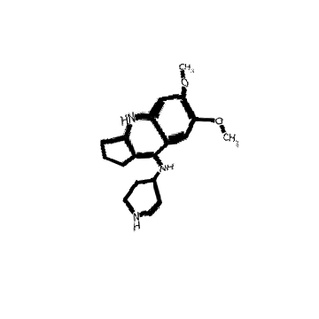 COc1cc2c(cc1OC)C(NC1CCNCC1)=C1CCCC1N2